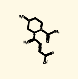 C=C(C=CC(=O)O)C1CN(C)CCN1C(N)=O